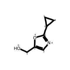 OCc1cnc(C2CC2)o1